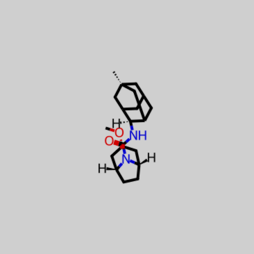 CO[C@H]1C[C@H]2CC[C@@H](C1)N2C(=O)N[C@H]1C2CC3CC1C[C@](C)(C3)C2